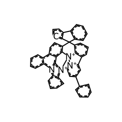 c1ccc(-c2cc[n+]3c(c2)-c2cccc4c2[N+]32c3c(ccc5c6ccccc6n6c7ccccc7[n+]2c6c35)C42c3ccccc3-c3ccccc32)cc1